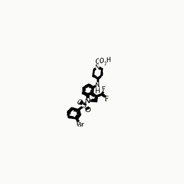 O=C(O)N1CCC(Nc2cccc3c2c(C(F)F)cn3S(=O)(=O)c2cccc(Br)c2)CC1